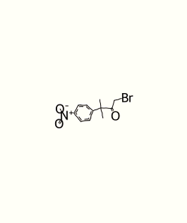 CC(C)(C(=O)CBr)c1ccc([N+](=O)[O-])cc1